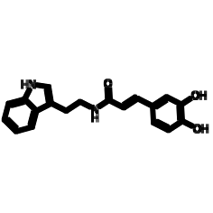 O=C(C=Cc1ccc(O)c(O)c1)NCCc1c[nH]c2ccccc12